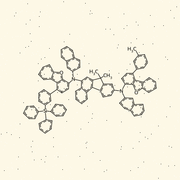 Cc1cccc(-c2ccc(N(c3ccc4c(c3)C(C)(C)c3cc(N(c5ccc6ccccc6c5)c5ccc(-c6cccc([Si](c7ccccc7)(c7ccccc7)c7ccccc7)c6)c6c5oc5ccccc56)c5ccccc5c3-4)c3ccc4ccccc4c3)c3oc4ccccc4c23)c1